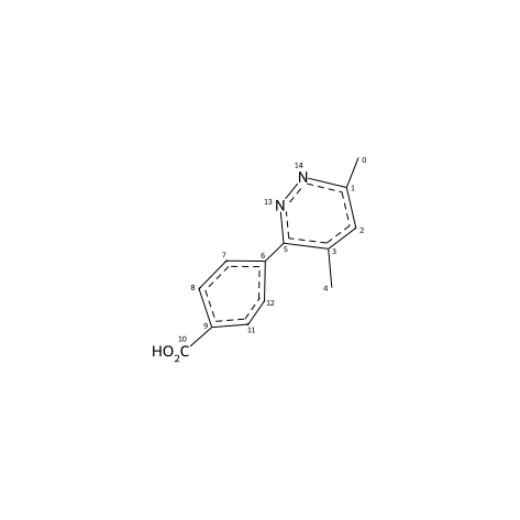 Cc1cc(C)c(-c2ccc(C(=O)O)cc2)nn1